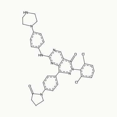 O=C1CCCN1c1ccc(-c2nn(-c3c(Cl)cccc3Cl)c(=O)c3cnc(Nc4ccc(N5CCNCC5)cc4)nc23)cc1